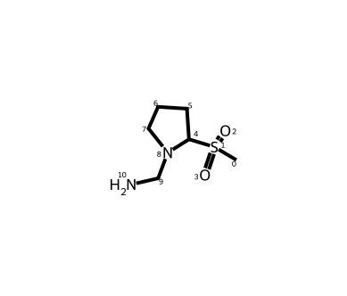 CS(=O)(=O)C1CCCN1CN